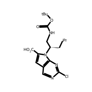 CC(C)C[C@@H](CNC(=O)OC(C)(C)C)n1c(C(=O)O)cc2cnc(Cl)nc21